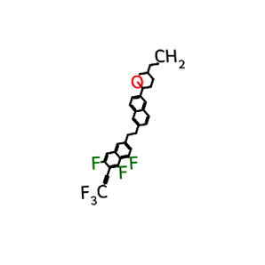 C=CCC1CCC(c2ccc3cc(CCc4cc(F)c5c(F)c(C#CC(F)(F)F)c(F)cc5c4)ccc3c2)OC1